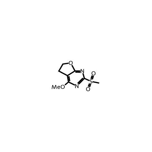 COc1nc(S(C)(=O)=O)nc2c1CCO2